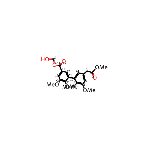 COC(=O)Cc1cc(OC)c(OC)c(-c2cc(C(=O)OCO)cc(OC)c2OC)c1